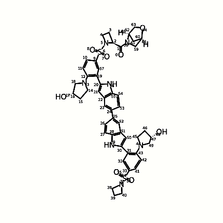 O=C([C@@H]1CCN1S(=O)(=O)c1ccc(N2CC[C@H](O)C2)c(-c2cc3cc(-c4ccc5[nH]c(-c6cc(S(=O)(=O)N7CCC7)ccc6N6CC[C@H](O)C6)cc5c4)ccc3[nH]2)c1)N1C[C@H]2C[C@@H]1CO2